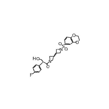 O=C(C(CO)c1ccc(F)cc1)N1CC(=C2CN(S(=O)(=O)c3ccc4c(c3)OCCO4)C2)C1